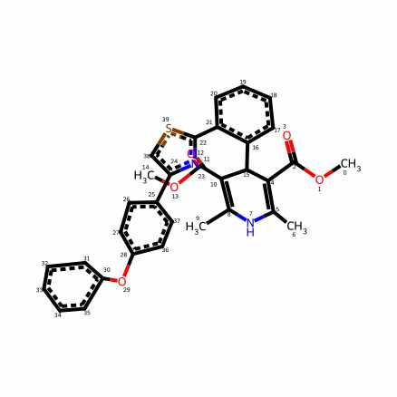 COC(=O)C1=C(C)NC(C)=C(C(=O)OC)C1c1ccccc1-c1nc(-c2ccc(Oc3ccccc3)cc2)cs1